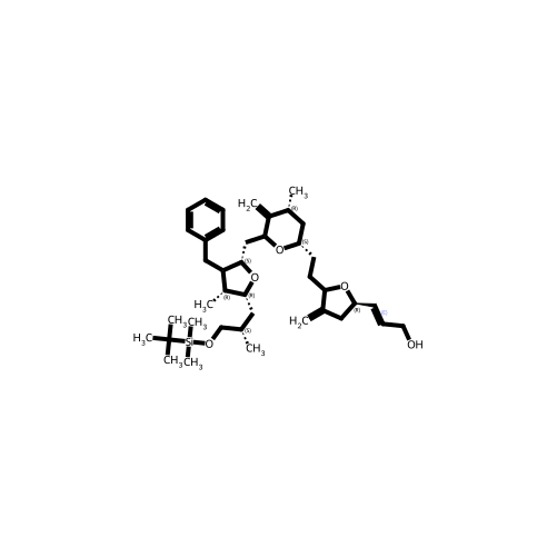 C=C1C[C@H](/C=C/CO)OC1CC[C@H]1C[C@@H](C)C(=C)C(C[C@@H]2O[C@H](C[C@H](C)CO[Si](C)(C)C(C)(C)C)[C@H](C)C2Cc2ccccc2)O1